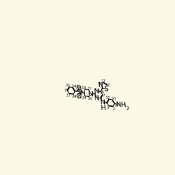 Nc1ccc(Nc2cc(-c3nccs3)nc(N3CCN(S(=O)(=O)c4ccccc4)CC3)n2)cc1